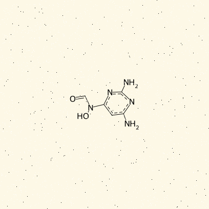 Nc1cc(N(O)C=O)nc(N)n1